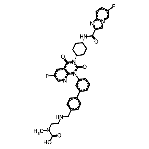 CN(CCNCc1ccc(-c2cccc(-n3c(=O)n([C@H]4CC[C@@H](NC(=O)c5cn6cc(F)ccc6n5)CC4)c(=O)c4cc(F)cnc43)c2)cc1)C(=O)O